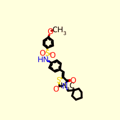 COc1ccc(S(=O)(=O)Nc2ccc(/C=C3\SC(=O)N(CC4(C)CCCCC4)C3=O)cc2)cc1